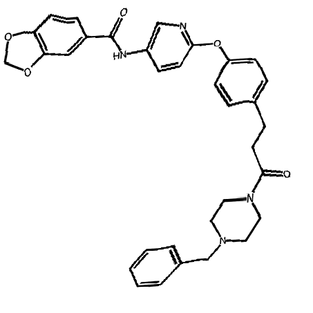 O=C(Nc1ccc(Oc2ccc(CCC(=O)N3CCN(Cc4ccccc4)CC3)cc2)nc1)c1ccc2c(c1)OCO2